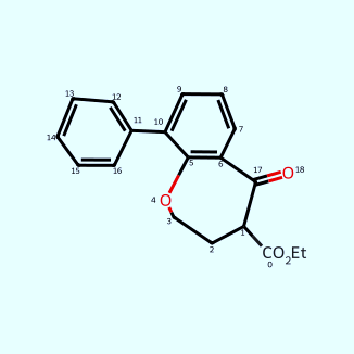 CCOC(=O)C1CCOc2c(cccc2-c2ccccc2)C1=O